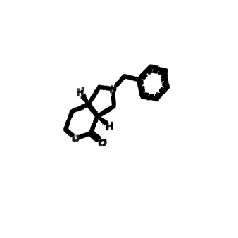 O=C1OCC[C@@H]2CN(Cc3ccccc3)C[C@H]12